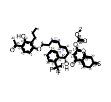 CCCc1c(OCC/C=C\C=C\[C@H](c2c(OC(=O)OC)oc3c(c2=O)=CCC(=S)C=3)[C@H](O)c2ccccc2C(F)(F)F)ccc(C(C)=O)c1O